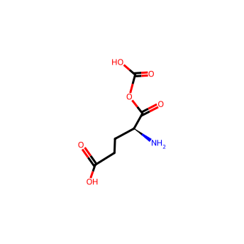 N[C@@H](CCC(=O)O)C(=O)OC(=O)O